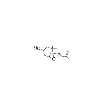 C=C(C)/C=C/C12OC1(C)CC(O)CC2(C)C